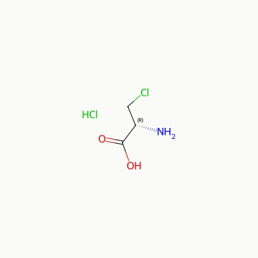 Cl.N[C@@H](CCl)C(=O)O